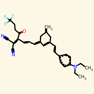 C=C1CC(/C=C/c2ccc(N(CC)CC)cc2)=CC(=C/C=C/C(C(=O)CCC(F)(F)F)=C(C#N)C#N)/C1